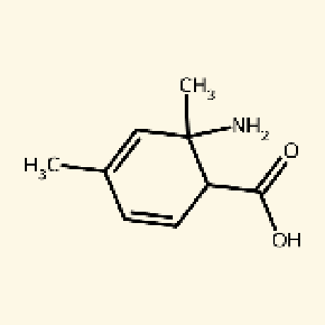 CC1=CC(C)(N)C(C(=O)O)C=C1